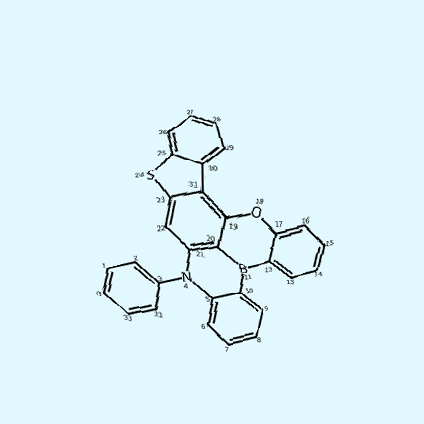 c1ccc(N2c3ccccc3B3c4ccccc4Oc4c3c2cc2sc3ccccc3c42)cc1